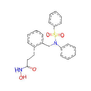 O=C(CCc1ccccc1CN(c1ccccc1)S(=O)(=O)c1ccccc1)NO